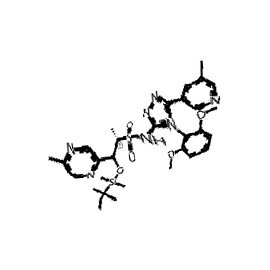 COc1cccc(OC)c1-n1c(NS(=O)(=O)[C@@H](C)C(O[Si](C)(C)C(C)(C)C)c2cnc(C)cn2)nnc1-c1cncc(C)c1